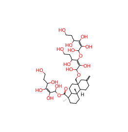 C=C1CC[C@@H]2[C@](COC(O)/C(O)=C(/OC(O)/C(O)=C(/O)C(O)CCO)C(O)CCO)(CCC3[C@](C)(C(=O)OC(O)/C(O)=C(/O)C(O)CCO)CCC[C@]32C)C1